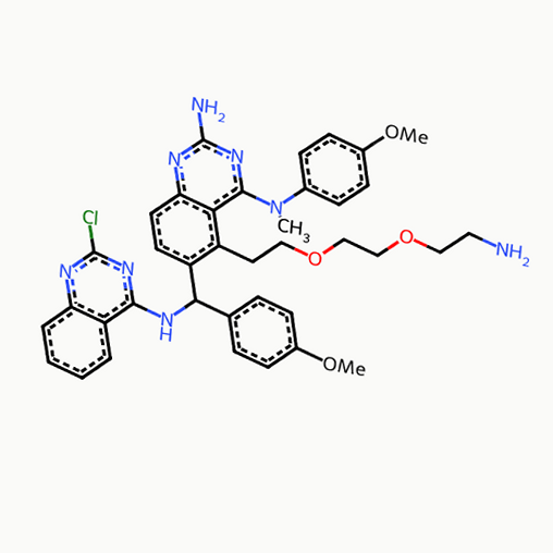 COc1ccc(C(Nc2nc(Cl)nc3ccccc23)c2ccc3nc(N)nc(N(C)c4ccc(OC)cc4)c3c2CCOCCOCCN)cc1